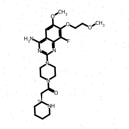 COCCOc1c(OC)cc2c(N)nc(N3CCN(C(=O)C[C@@H]4CCCCN4)CC3)nc2c1F